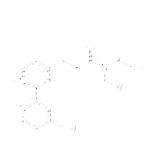 Cc1ccnc(-c2cc(CCC(=O)N(CC(C)C)CC(C)C)ccn2)c1